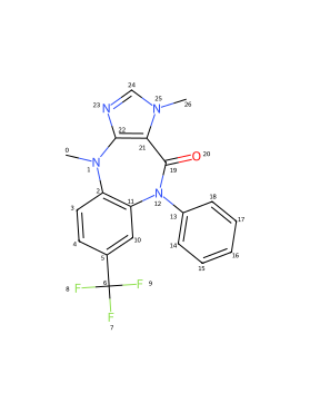 CN1c2ccc(C(F)(F)F)cc2N(c2ccccc2)C(=O)c2c1ncn2C